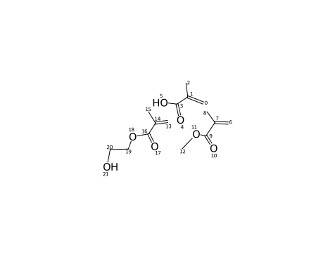 C=C(C)C(=O)O.C=C(C)C(=O)OC.C=C(C)C(=O)OCCO